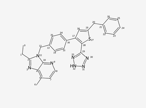 CCc1nc2c(C)ccnc2n1Cc1ccc(-c2cc(Cc3ccccc3)sc2-c2nn[nH]n2)cc1